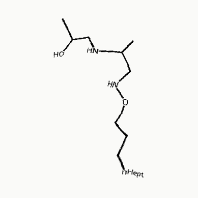 CCCCCCCCCCONCC(C)NCC(C)O